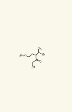 C=C(C(C)C)N(CCOC)C(=O)CCl